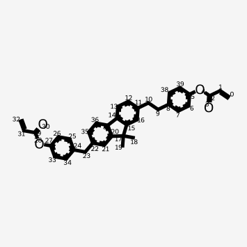 C=CC(=O)Oc1ccc(CCc2ccc3c(c2)C(C)(C)c2cc(Cc4ccc(OC(=O)C=C)cc4)ccc2-3)cc1